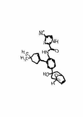 CC1(C)CC=C(c2cc(C3(O)CC4C=C[C@H](C3)O4)ccc2NC(=O)c2nc(C#N)c[nH]2)CC1